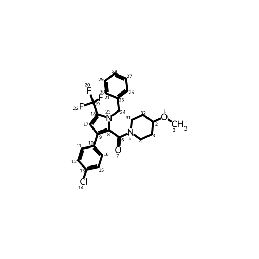 COC1CCN(C(=O)c2c(-c3ccc(Cl)cc3)cc(C(F)(F)F)n2Cc2ccccc2)CC1